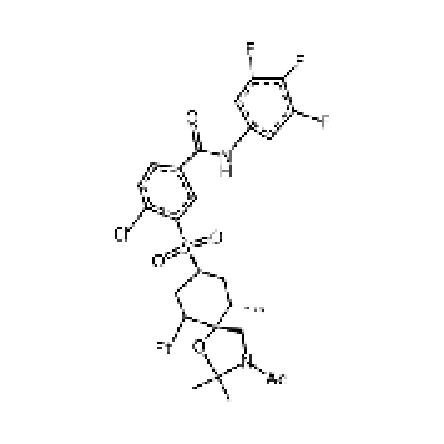 CCC1C[C@@H](S(=O)(=O)c2cc(C(=O)Nc3cc(F)c(F)c(F)c3)ccc2Cl)C[C@H](C)[C@@]12CN(C(C)=O)C(C)(C)O2